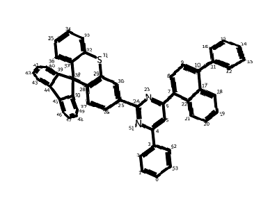 c1ccc(-c2cc(-c3ccc(-c4ccccc4)c4ccccc34)nc(-c3ccc4c(c3)Sc3ccccc3C43c4ccccc4-c4ccccc43)n2)cc1